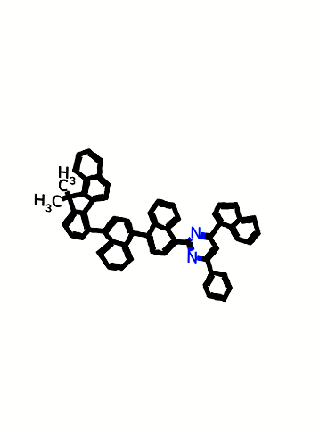 CC1(C)c2cccc(-c3ccc(-c4ccc(-c5nc(-c6ccccc6)cc(-c6cccc7ccccc67)n5)c5ccccc45)c4ccccc34)c2-c2ccc3ccccc3c21